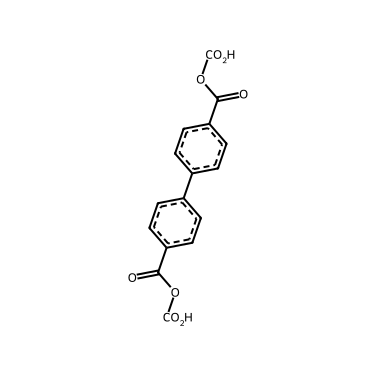 O=C(O)OC(=O)c1ccc(-c2ccc(C(=O)OC(=O)O)cc2)cc1